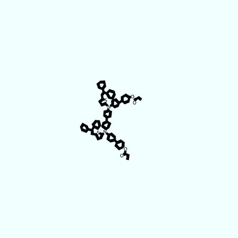 C=CC(=O)Oc1ccc(-c2ccc(N(c3ccc(-c4ccc(N(c5ccc(-c6ccc(OC(=O)C=C)cc6)cc5)c5ccc(C=C(c6ccccc6)c6ccccc6)s5)cc4)cc3)c3ccc(C=C(c4ccccc4)c4ccccc4)s3)cc2)cc1